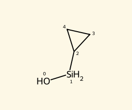 O[SiH2]C1CC1